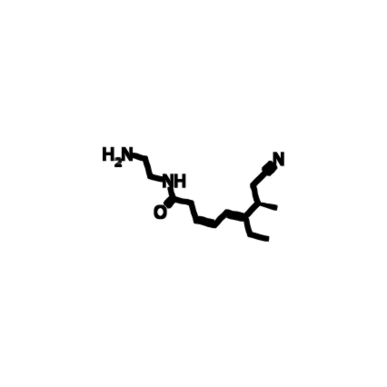 CC/C(=C\C=C/CC(=O)NCCN)[C@H](C)CC#N